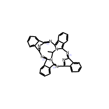 CC1n2c3c4ccccc4c2/N=C2N=C(/N=c4/c5ccccc5/c(n41)=N/C1=NC(=N\3)/c3ccccc31)c1ccccc1\2